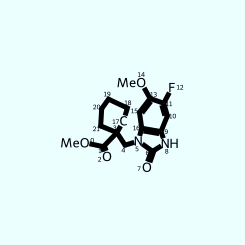 COC(=O)C1(Cn2c(=O)[nH]c3cc(F)c(OC)cc32)CCCCC1